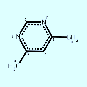 Bc1cc(C)ncn1